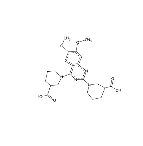 COc1cc2nc(N3CCCC(C(=O)O)C3)nc(N3CCCC(C(=O)O)C3)c2cc1OC